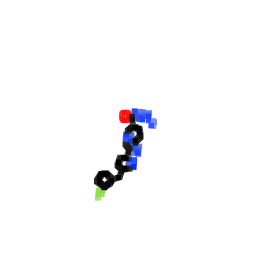 NC(=O)c1ccc2nc(-c3ccc(Cc4cccc(F)c4)cn3)cn2c1